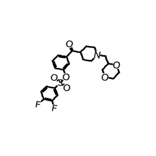 O=C(c1cccc(OS(=O)(=O)c2ccc(F)c(F)c2)c1)C1CCN(CC2COCCO2)CC1